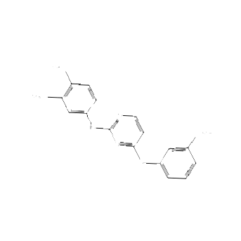 COc1cccc(Nc2ccnc(Nc3ccc(OC)c(OC)c3)n2)c1